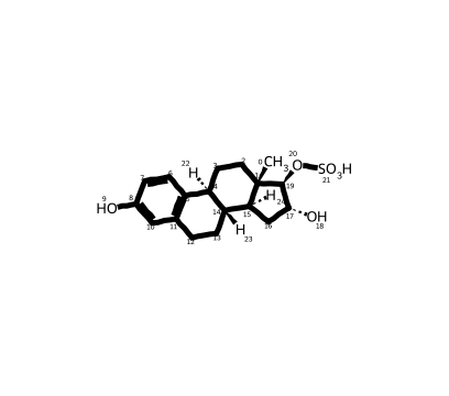 C[C@]12CC[C@@H]3c4ccc(O)cc4CC[C@H]3[C@@H]1C[C@@H](O)[C@@H]2OS(=O)(=O)O